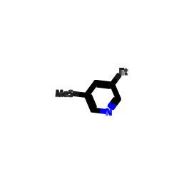 CCc1cncc(SC)c1